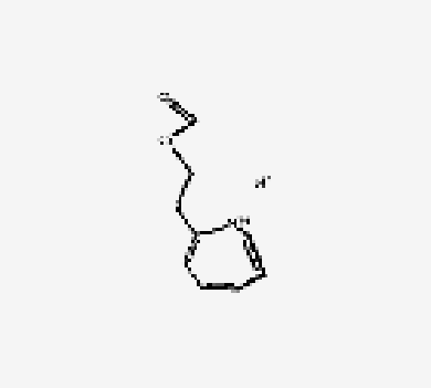 O=COCCC1=CC=CC=CN1.[H+]